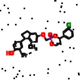 Cc1cc(OCP2(=O)OCCC(c3cccc(Cl)c3)O2)cc2c1C(c1ccc(O)c(C(C)C)c1)CC2